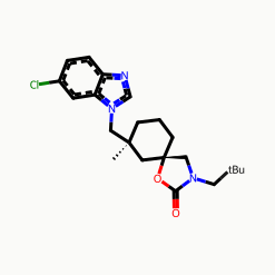 CC(C)(C)CN1C[C@@]2(CCC[C@](C)(Cn3cnc4ccc(Cl)cc43)C2)OC1=O